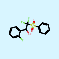 O=S(=O)(c1ccccc1)C(F)(F)C(O)c1ccccc1F